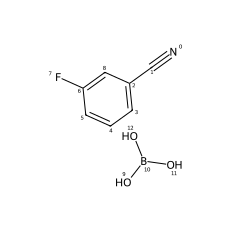 N#Cc1cccc(F)c1.OB(O)O